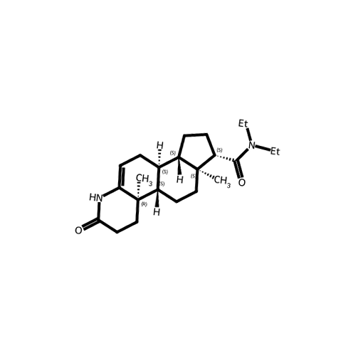 CCN(CC)C(=O)[C@H]1CC[C@H]2[C@@H]3CC=C4NC(=O)CC[C@]4(C)[C@H]3CC[C@]12C